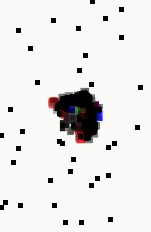 COc1cc(-c2ncnc(-c3cccc(-c4ccc(C=O)c(OC)n4)c3Cl)c2OC)ccc1C=O